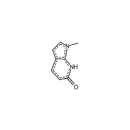 Cn1ccc2ccc(=O)[nH]c21